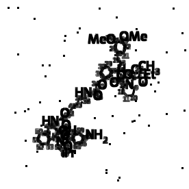 CCC(C)(C)C(=O)C(=O)N1CCCC[C@H]1C(=O)O[C@H](CCc1ccc(OC)c(OC)c1)c1cccc(OCC(=O)NCCCCCOC(=O)N[C@@H](Cc2ccccc2)[C@H](O)CN(CC(C)C)S(=O)(=O)c2ccc(N)cc2)c1